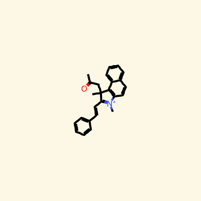 CC(=O)CC1(C)C(/C=C/c2ccccc2)=[N+](C)c2ccc3ccccc3c21